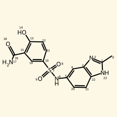 Cc1nc2cc(NS(=O)(=O)c3ccc(O)c(C(N)=O)c3)ccc2[nH]1